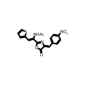 CC(=O)NC(=Cc1cccs1)C1=NC(=Cc2ccc([N+](=O)[O-])cc2)C(=O)O1